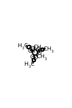 CCC1CC(S(=O)(=O)c2ccc(C)cc2)CC(CC)N(S(=O)(=O)c2ccc(C)cc2)CCC1S(=O)(=O)c1ccc(C)cc1